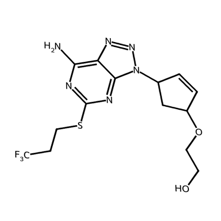 Nc1nc(SCCC(F)(F)F)nc2c1nnn2C1C=CC(OCCO)C1